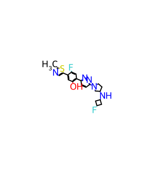 Cc1ncc(-c2cc(O)c(-c3ccc(N4CCC(NC5CC(F)C5)C4)nn3)cc2F)s1